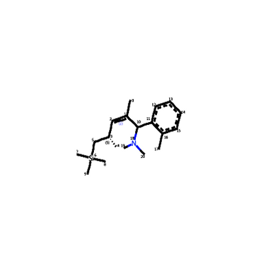 C/C(=C/[C@H](C)C[Si](C)(C)C)C(c1ccccc1C)N(C)C